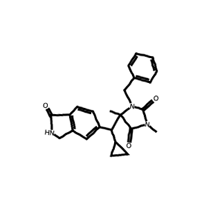 CN1C(=O)N(Cc2ccccc2)C(C)(C(c2ccc3c(c2)CNC3=O)C2CC2)C1=O